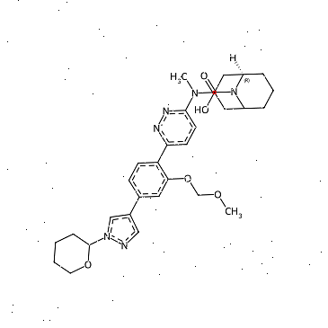 COCOc1cc(-c2cnn(C3CCCCO3)c2)ccc1-c1ccc(N(C)C2CC3CCC[C@H](C2)N3C(=O)O)nn1